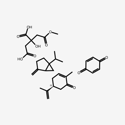 C=C(C)[C@H]1CC=C(C)C(=O)C1.C=C1CCC2(C(C)C)CC12.COC(=O)CC(O)(CC(=O)O)C(=O)O.O=C1C=CC(=O)C=C1